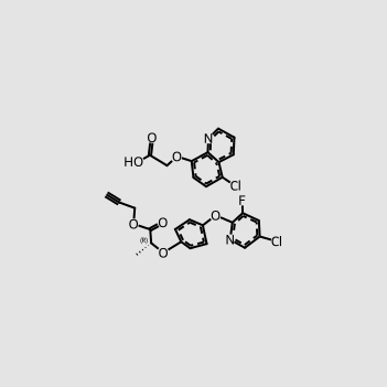 C#CCOC(=O)[C@@H](C)Oc1ccc(Oc2ncc(Cl)cc2F)cc1.O=C(O)COc1ccc(Cl)c2cccnc12